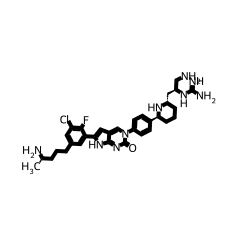 C[C@H](N)CCCc1cc(Cl)c(F)c(-c2cc3cn(-c4ccc([C@@H]5CCC[C@@H](C[C@@H](CN)NC(=N)N)N5)cc4)c(=O)nc3[nH]2)c1